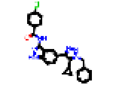 O=C(Nc1n[nH]c2ccc(-c3nnn(Cc4ccccc4)c3C3CC3)cc12)c1ccc(Cl)cc1